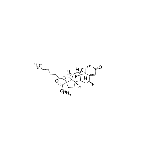 CCCCCC(=O)O[C@]1(C(=O)O)[C@@H](C)C[C@H]2[C@@H]3C[C@H](F)C4=CC(=O)C=C[C@]4(C)[C@@]3(F)CC[C@@]21C